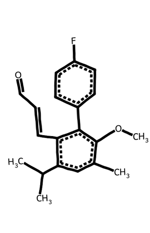 COc1c(C)cc(C(C)C)c(C=CC=O)c1-c1ccc(F)cc1